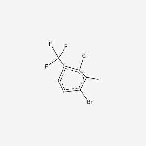 [CH]c1c(Br)ccc(C(F)(F)F)c1Cl